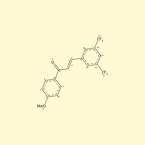 COc1ccc(C(=O)/C=C/c2cc(C(F)(F)F)cc(C(F)(F)F)c2)cc1